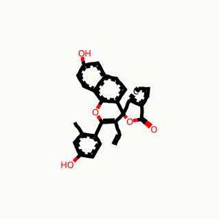 C=CC1=C(c2ccc(O)cc2C)Oc2c(ccc3cc(O)ccc23)C12OC(=O)c1ccccc12